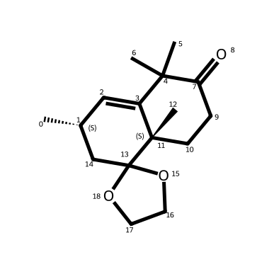 C[C@@H]1C=C2C(C)(C)C(=O)CC[C@]2(C)C2(C1)OCCO2